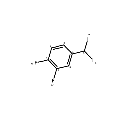 Fc1ccc(C(I)I)cc1F